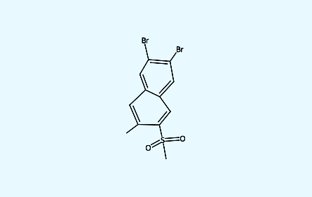 Cc1cc2cc(Br)c(Br)cc2cc1S(C)(=O)=O